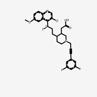 COc1ccc2ncc(Cl)c([C@H](F)CCC3CCN(CC#Cc4cc(F)cc(F)c4)CC3CC(=O)O)c2c1